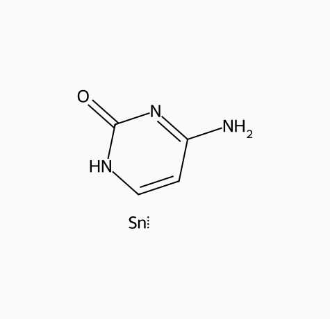 Nc1cc[nH]c(=O)n1.[Sn]